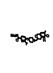 CNC(=O)c1ccc(N2CCN(CC3Cc4[nH]c(=O)c(C)cc4CO3)CC2)c(F)n1